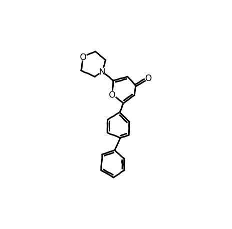 O=c1cc(-c2ccc(-c3ccccc3)cc2)oc(N2CCOCC2)c1